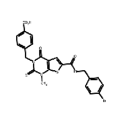 Cn1c(=O)n(Cc2ccc(C(=O)O)cc2)c(=O)c2cc(C(=O)NCc3ccc(Br)cc3)sc21